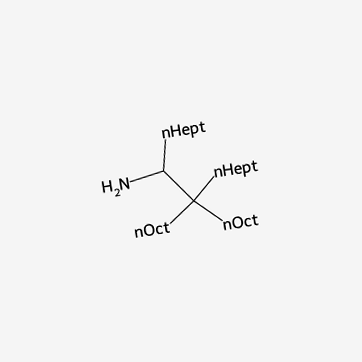 CCCCCCCCC(CCCCCCC)(CCCCCCCC)C(N)CCCCCCC